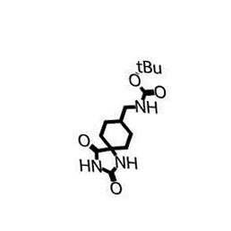 CC(C)(C)OC(=O)NCC1CCC2(CC1)NC(=O)NC2=O